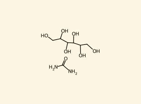 NC(N)=O.OCC(O)C(O)C(O)C(O)CO